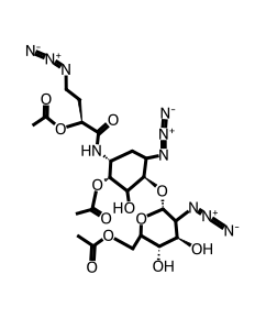 CC(=O)OCC1O[C@H](O[C@@H]2C(N=[N+]=[N-])C[C@@H](NC(=O)[C@H](CCN=[N+]=[N-])OC(C)=O)[C@@H](OC(C)=O)C2O)C(N=[N+]=[N-])[C@@H](O)[C@@H]1O